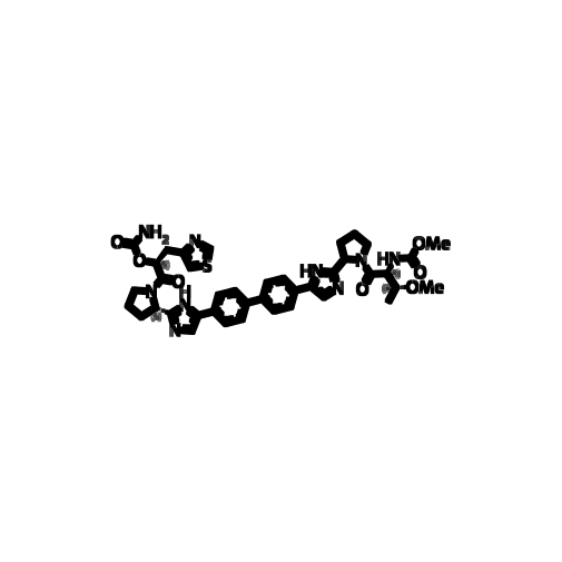 COC(=O)N[C@H](C(=O)N1CCCC1c1ncc(-c2ccc(-c3ccc(-c4cnc([C@@H]5CCCN5C(=O)[C@H](Cc5cscn5)OC(N)=O)[nH]4)cc3)cc2)[nH]1)[C@@H](C)OC